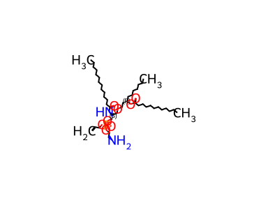 C=CCOP(=O)(OCCN)OC[C@H](COCC[C@@H](CCCCCCC)OC(=O)CCCCCCCCCCC)NC(=O)CCCCCCCCCCCCC